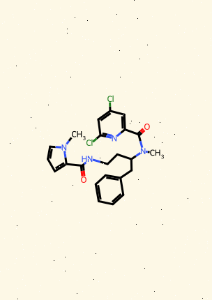 CN(C(=O)c1cc(Cl)cc(Cl)n1)C(CCNC(=O)c1cccn1C)Cc1ccccc1